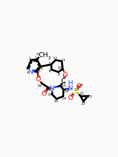 Cc1ccnc2c1C1CCC(CC1)OCC1C(NS(=O)(=O)C3CC3)CCCN1C(=O)CO2